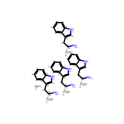 N[C@@H](Cc1c[nH]c2ccccc12)C(=O)[O-].N[C@@H](Cc1c[nH]c2ccccc12)C(=O)[O-].N[C@@H](Cc1c[nH]c2ccccc12)C(=O)[O-].N[C@@H](Cc1c[nH]c2ccccc12)C(=O)[O-].[Ge+4]